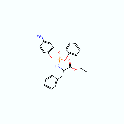 CCOC(=O)[C@H](Cc1ccccc1)NP(=O)(Oc1ccccc1)Oc1ccc(N)cc1